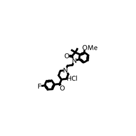 COc1cccc2c1C(C)(C)C(=O)N2CCN1CCC(C(=O)c2ccc(F)cc2)CC1.Cl